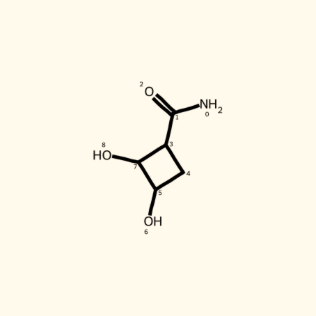 NC(=O)C1CC(O)C1O